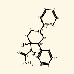 CC(C(N)=O)C1(Cl)CCN(c2ccccc2)CC1c1ccccc1